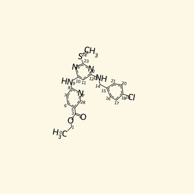 CCOC(=O)c1ccc(Nc2cc(NCc3ccc(Cl)cc3)nc(SC)n2)nc1